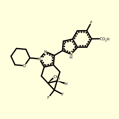 C[C@@]12Cc3c(c(-c4cc5cc(F)c(C(=O)O)cc5[nH]4)nn3C3CCCCO3)C[C@@H]1C2(F)F